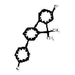 CC1(C)c2cc(Br)ccc2-c2ccc(-c3ccc(Cl)cc3)cc21